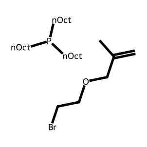 C=C(C)COCCBr.CCCCCCCCP(CCCCCCCC)CCCCCCCC